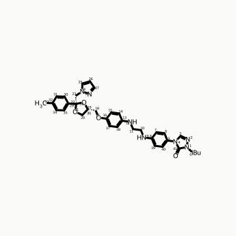 CCC(C)n1ncn(-c2ccc(NCCNc3ccc(OC[C@@H]4CO[C@@](Cn5cccn5)(c5ccc(C)cc5)O4)cc3)cc2)c1=O